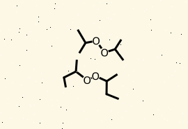 CC(C)OOC(C)C.CCC(C)OOC(C)CC